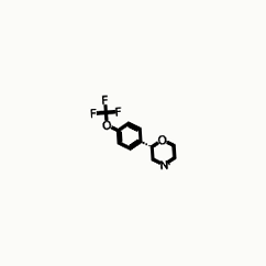 FC(F)(F)Oc1ccc([C@H]2C[N]CCO2)cc1